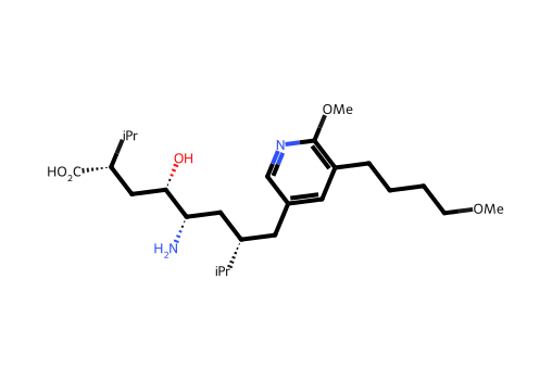 COCCCCc1cc(C[C@@H](C[C@H](N)[C@@H](O)C[C@H](C(=O)O)C(C)C)C(C)C)cnc1OC